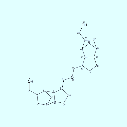 OCC1CC2CC1C1C(COCC3CCC4C5CC(CO)C(C5)C34)CCC21